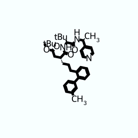 Cc1cccc(-c2ccccc2CCC[C@H](CC(=O)OC(C)(C)C)C(=O)N[C@H](C(=O)N[C@H](C)c2ccncc2)C(C)(C)C)c1